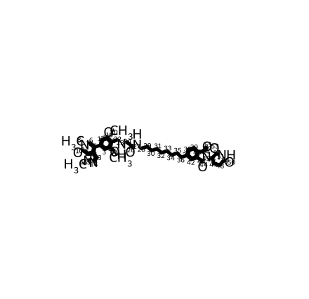 COc1cc(-c2cn(C)c(=O)c3c2cnn3C)cc(OC)c1CNCC(=O)NCCCCCCCCCc1ccc2c(c1)C(=O)N(C1CCC(=O)NC1=O)C2=O